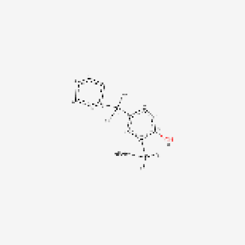 CCCCCC(C)(C)c1cc(C(C)(C)c2ccccc2)ccc1O